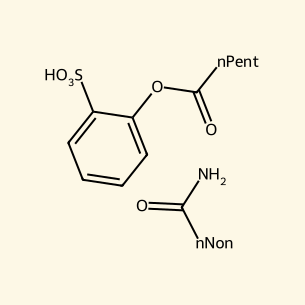 CCCCCC(=O)Oc1ccccc1S(=O)(=O)O.CCCCCCCCCC(N)=O